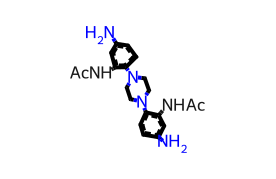 CC(=O)Nc1cc(N)ccc1N1CCN(c2ccc(N)cc2NC(C)=O)CC1